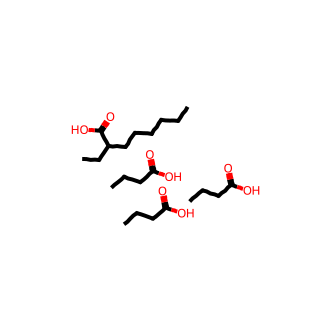 CCCC(=O)O.CCCC(=O)O.CCCC(=O)O.CCCCCCC(CC)C(=O)O